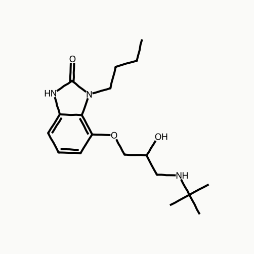 CCCCn1c(=O)[nH]c2cccc(OCC(O)CNC(C)(C)C)c21